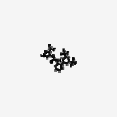 Cn1cc(OC(=O)Nc2ccccc2-c2cc(C(F)(F)F)cc(C(F)(F)F)c2)c(C(F)F)n1